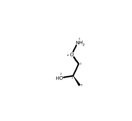 C[C@@H](O)CON